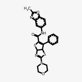 Cc1nc2cc(NC(=O)C3=C(c4ccccc4)C4SC(N5CCOCC5)=NC4S3)ccc2o1